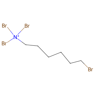 BrCCCCCC[N+](Br)(Br)Br